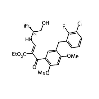 CCOC(=O)C(=CN[C@H](CO)C(C)C)C(=O)c1cc(Cc2cccc(Cl)c2F)c(OC)cc1OC